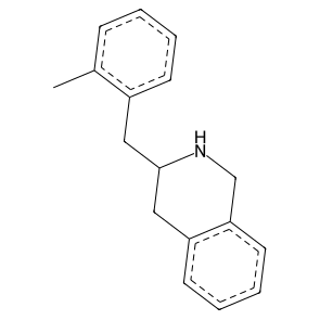 Cc1ccccc1CC1Cc2ccccc2CN1